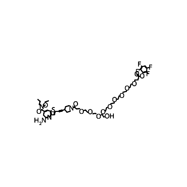 CCCN(OCC)C(=O)C1=Cc2sc(C#CC3CCN(C(=O)CCOCCOCCOC(CO)OCCOCCOCCOCCOCCOCCC(=O)Oc4c(F)c(F)cc(F)c4F)CC3)cc2N=C(N)C1